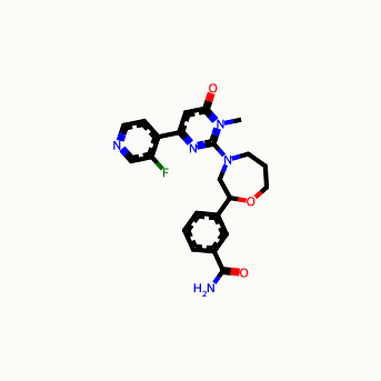 Cn1c(N2CCCOC(c3cccc(C(N)=O)c3)C2)nc(-c2ccncc2F)cc1=O